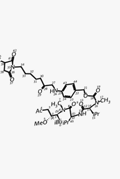 CC[C@H](C)[C@@H]([C@@H](CC(C)=O)OC)N(C)C(=O)[C@@H](NC(=O)[C@H](C(C)C)N(C)C(=O)OCc1ccc(NCC(=O)CCCCCN2C(=O)CC(C)C2=O)cc1)C(C)C